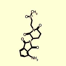 C[S+]([O-])CCN1C(=O)CCC(N2C(=O)c3cccc(N)c3C2=O)C1=O